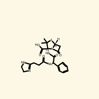 CC1(C)S[C@@H]2CC(=O)N2[C@@]1(NC(=O)C(NC(=O)CCC1=NCCN1)c1ccccc1)C(=O)O